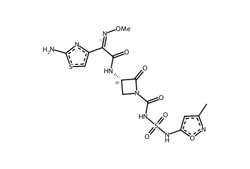 CO/N=C(\C(=O)N[C@H]1CN(C(=O)NS(=O)(=O)Nc2cc(C)no2)C1=O)c1csc(N)n1